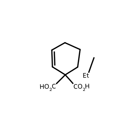 CCC.O=C(O)C1(C(=O)O)C=CCCC1